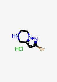 Brc1cc2n(n1)CCNC2.Cl